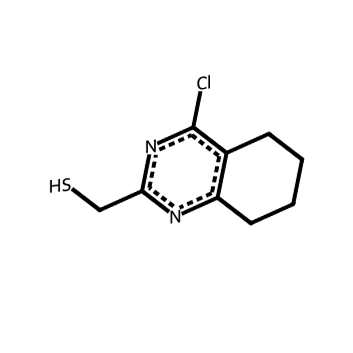 SCc1nc(Cl)c2c(n1)CCCC2